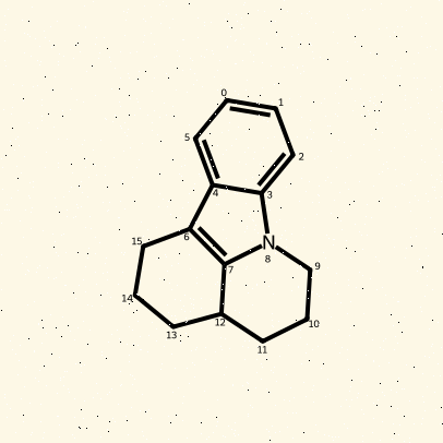 c1ccc2c(c1)c1c3n2CCCC3CCC1